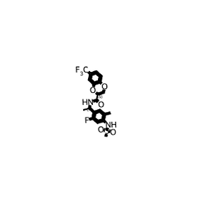 Cc1cc([C@@H](C)NC(=O)[C@@H]2COc3ccc(C(F)(F)F)cc3O2)c(F)cc1NS(C)(=O)=O